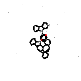 c1cc(-n2c3ccccc3c3ccncc32)cc(-n2c3ccccc3c3cc4c5c(c32)-c2c(ccc3ccccc23)C(CC5)c2ccccc2-4)c1